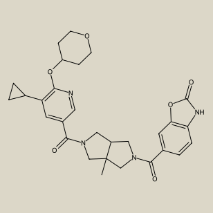 CC12CN(C(=O)c3cnc(OC4CCOCC4)c(C4CC4)c3)CC1CN(C(=O)c1ccc3[nH]c(=O)oc3c1)C2